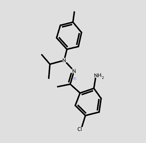 C/C(=N\N(c1ccc(C)cc1)C(C)C)c1cc(Cl)ccc1N